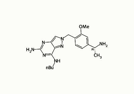 CCCCNc1nc(N)nc2cn(Cc3ccc([C@@H](C)N)cc3OC)nc12